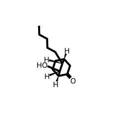 CCCCC[C@@H]1[C@@H]2CC[C@@H](C(=O)C2)[C@@H]1O